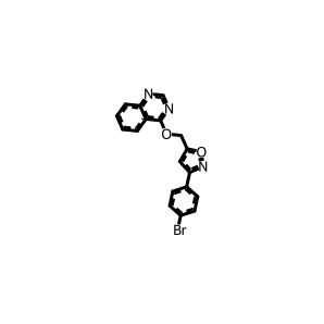 Brc1ccc(-c2cc(COc3ncnc4ccccc34)on2)cc1